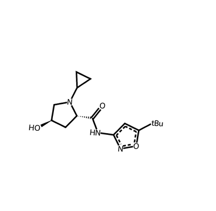 CC(C)(C)c1cc(NC(=O)[C@@H]2C[C@@H](O)CN2C2CC2)no1